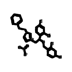 Clc1ccc(COC(C[n+]2ccn(CCc3ccccc3)c2)c2ccc(Cl)cc2Cl)c(Cl)c1.O=[N+]([O-])[O-]